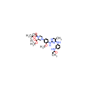 C=CC(=O)Nc1cccc(Nc2nc(Nc3ccc(N4CCN(C(=O)OC(C)(C)C)[C@H](C(=O)OC)C4)cc3OC)ncc2C)c1